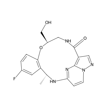 C[C@H]1Nc2ccn3ncc(c3n2)C(=O)NC[C@H](CO)Oc2ccc(F)cc21